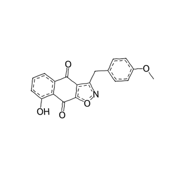 COc1ccc(Cc2noc3c2C(=O)c2cccc(O)c2C3=O)cc1